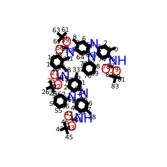 Cc1cc2nc3cc(C)c(N(Cc4ccccc4CN(C(=O)OC(C)(C)C)c4cc5c(cc4C)nc4cc(C)c(NC(=O)OC(C)(C)C)cc4[n+]5-c4ccccc4)C(=O)OC(C)(C)C)cc3[n+](-c3ccccc3)c2cc1NC(=O)OC(C)(C)C